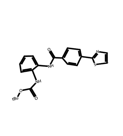 CC(C)(C)OC(=O)Nc1ccccc1NC(=O)c1ccc(-c2nc[c]s2)cc1